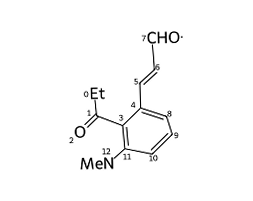 CCC(=O)c1c(/C=C/[C]=O)cccc1NC